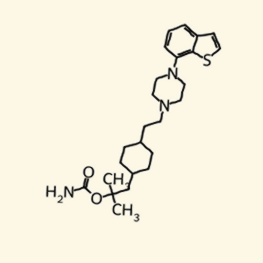 CC(C)(CC1CCC(CCN2CCN(c3cccc4ccsc34)CC2)CC1)OC(N)=O